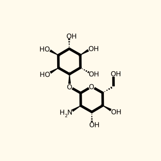 N[C@H]1C(O[C@@H]2[C@@H](O)[C@H](O)[C@@H](O)[C@H](O)[C@@H]2O)O[C@H](CO)[C@@H](O)[C@@H]1O